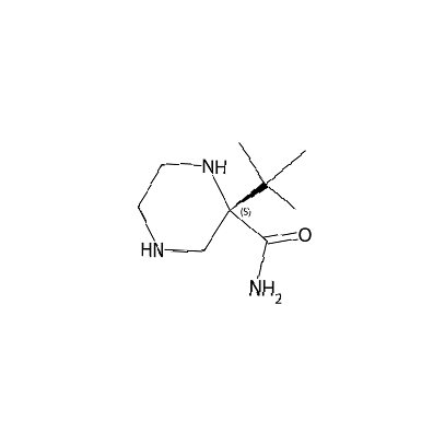 CC(C)(C)[C@@]1(C(N)=O)CNCCN1